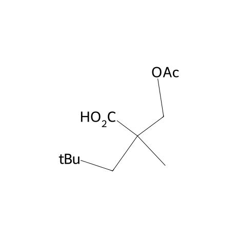 CC(=O)OCC(C)(CC(C)(C)C)C(=O)O